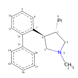 CC(C)[C@@H]1CN(C)C[C@H]1c1ccccc1-c1ccccc1